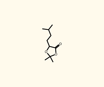 CC(C)CCC1OC(C)(C)OC1=O